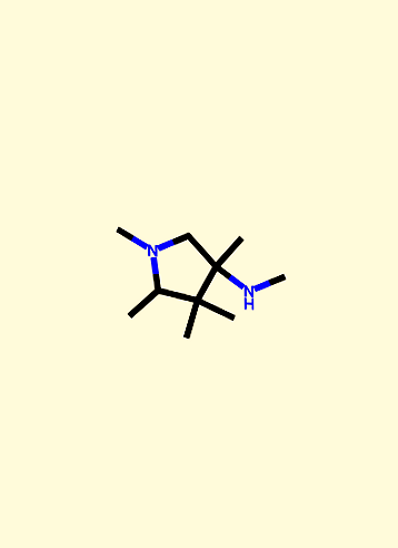 CNC1(C)CN(C)C(C)C1(C)C